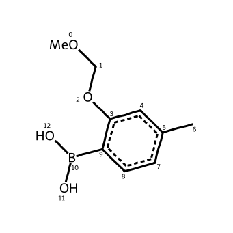 COCOc1cc(C)ccc1B(O)O